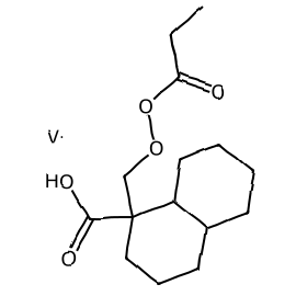 CCC(=O)OOCC1(C(=O)O)CCCC2CCCCC21.[V]